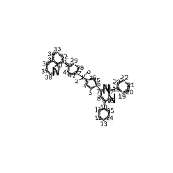 CC(C)(c1ccc(-c2cc(-c3ccccc3)nc(-c3ccccc3)n2)cc1)c1ccc(-c2cccc3cccnc23)cc1